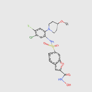 CCOC1CCN(c2cc(F)c(Cl)cc2NS(=O)(=O)c2ccc3cc(C(=O)NO)oc3c2)CC1